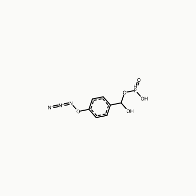 [N-]=[N+]=NOc1ccc(C(O)O[PH](=O)O)cc1